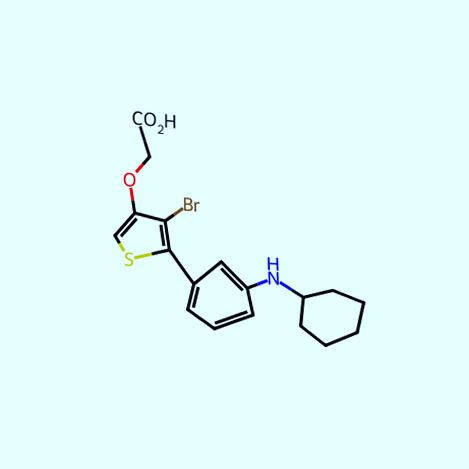 O=C(O)COc1csc(-c2cccc(NC3CCCCC3)c2)c1Br